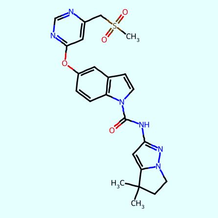 CC1(C)CCn2nc(NC(=O)n3ccc4cc(Oc5cc(CS(C)(=O)=O)ncn5)ccc43)cc21